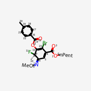 CCCCCOC(=O)C1=CC(=NOC)[C@@](C)(F)C(OC(=O)c2ccc(C)cc2)=C1Br